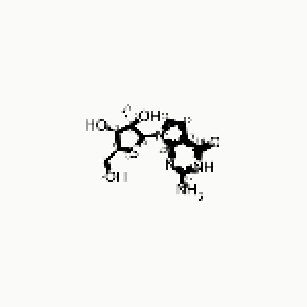 C[C@@]1(O)[C@H](O)[C@H](CO)S[C@@H]1n1ccc2c(=O)[nH]c(N)nc21